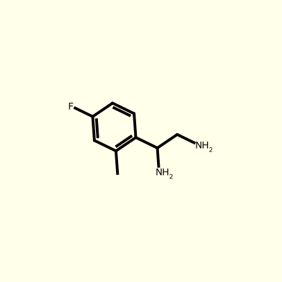 Cc1cc(F)ccc1C(N)CN